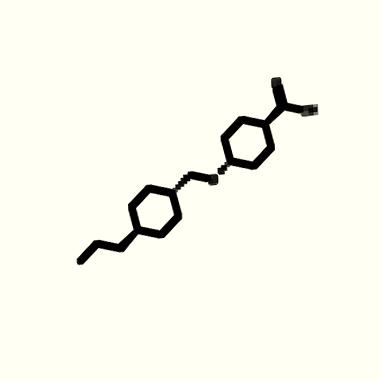 CCC[C@H]1CC[C@H](CO[C@H]2CC[C@H](C(=O)O)CC2)CC1